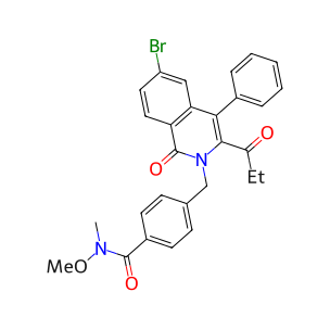 CCC(=O)c1c(-c2ccccc2)c2cc(Br)ccc2c(=O)n1Cc1ccc(C(=O)N(C)OC)cc1